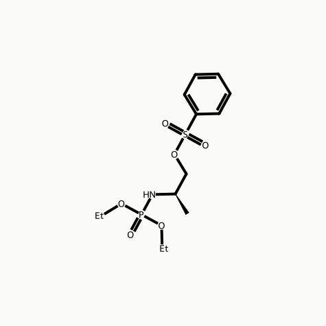 CCOP(=O)(N[C@H](C)COS(=O)(=O)c1ccccc1)OCC